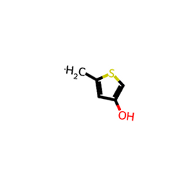 [CH2]c1cc(O)cs1